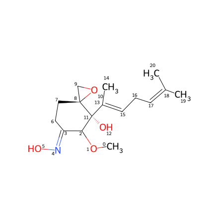 COC1C(=NO)CC[C@]2(CO2)[C@@]1(O)/C(C)=C/CC=C(C)C